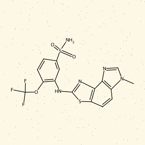 Cn1cnc2c3nc(Nc4cc(S(N)(=O)=O)ccc4OC(F)(F)F)sc3ccc21